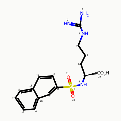 N=C(N)NCCC[C@H](NS(=O)(=O)c1ccc2ccccc2c1)C(=O)O